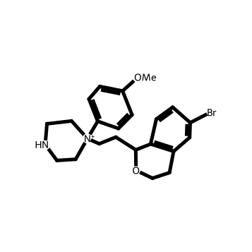 COc1ccc([N+]2(CCC3OCCc4cc(Br)ccc43)CCNCC2)cc1